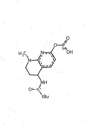 CN1CCC(N[S+]([O-])C(C)(C)C)c2ccc(O[PH](=O)O)nc21